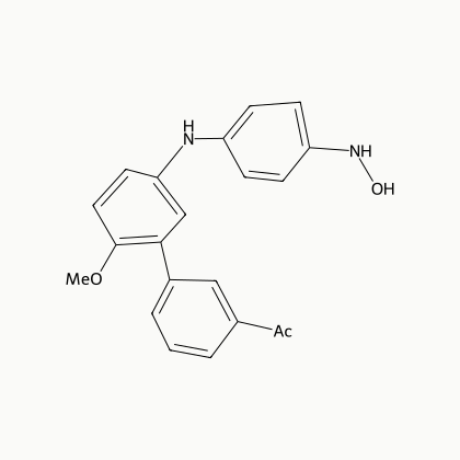 COc1ccc(Nc2ccc(NO)cc2)cc1-c1cccc(C(C)=O)c1